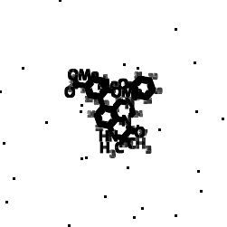 COC(=O)c1ccc(OC)c(-c2ccc3c4c2CN(c2ccccc2OC)CN4C(=O)C(C)(C)N3)c1